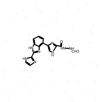 O=CNNC(=O)c1nc(-c2cccc3[nH]c(-c4ncc[nH]4)nc23)[c][nH]1